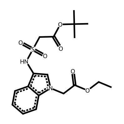 CCOC(=O)Cn1cc(NS(=O)(=O)CC(=O)OC(C)(C)C)c2ccccc21